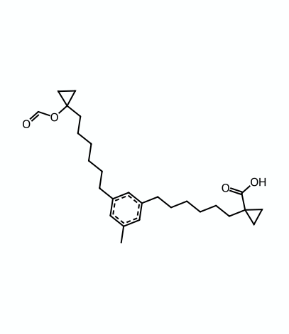 Cc1cc(CCCCCCC2(OC=O)CC2)cc(CCCCCCC2(C(=O)O)CC2)c1